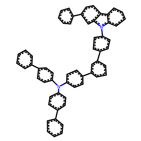 c1ccc(-c2ccc(N(c3ccc(-c4ccccc4)cc3)c3ccc(-c4cccc(-c5ccc(-n6c7ccccc7c7ccc(-c8ccccc8)cc76)cc5)c4)cc3)cc2)cc1